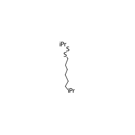 CC(C)CCCCCCSSC(C)C